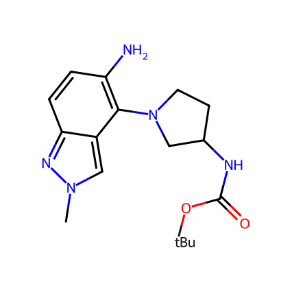 Cn1cc2c(N3CCC(NC(=O)OC(C)(C)C)C3)c(N)ccc2n1